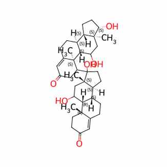 C[C@]12CC(O)[C@H]3[C@@H](CCC4=CC(=O)CC(C5(O)CC[C@H]6[C@@H]7CCC8=CC(=O)CC[C@]8(C)[C@@H]7C(O)C[C@@]65C)[C@@]43C)[C@@H]1CC[C@@H]2O